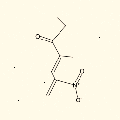 C=C(/C=C(\C)C(=O)CC)[N+](=O)[O-]